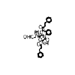 CN(C(=O)CCc1ccccc1)c1ccccc1N(CC(=O)NCC=O)C(=O)CNC(=O)CCc1ccccc1